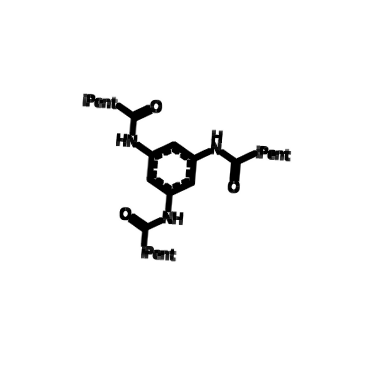 CCCC(C)C(=O)Nc1cc(NC(=O)C(C)CCC)cc(NC(=O)C(C)CCC)c1